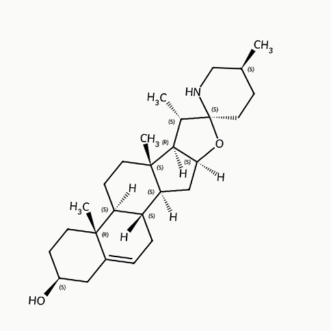 C[C@H]1CC[C@]2(NC1)O[C@H]1C[C@H]3[C@@H]4CC=C5C[C@@H](O)CC[C@]5(C)[C@H]4CC[C@]3(C)[C@H]1[C@@H]2C